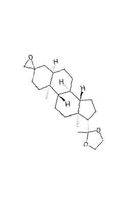 CC1([C@H]2CC[C@H]3[C@@H]4CC[C@@H]5CC6(CC[C@]5(C)[C@H]4CC[C@]23C)CO6)OCCO1